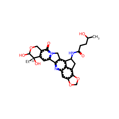 CC[C@]1(O)c2cc3n(c(=O)c2COC1O)Cc1c-3nc2cc3c(c4c2c1C(NC(=O)CCC(C)O)C4)OCO3